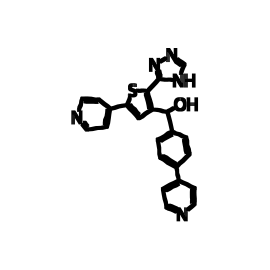 OC(c1ccc(-c2ccncc2)cc1)c1cc(-c2ccncc2)sc1-c1nnc[nH]1